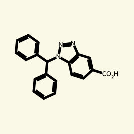 O=C(O)c1ccc2c(c1)nnn2C(c1ccccc1)c1ccccc1